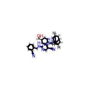 N#Cc1ccccc1CNc1ncc(C#N)c(NC[C@]23CC4C[C@H](C2)[C@@H](NC[C@H]2CC[C@H](CO)CC2)[C@@H](C4)C3)n1